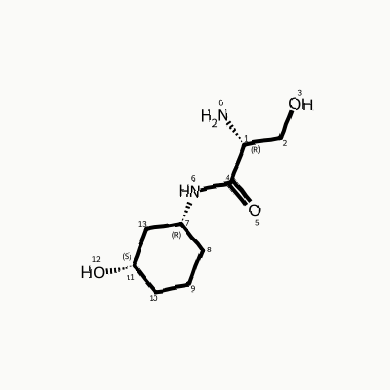 N[C@H](CO)C(=O)N[C@@H]1CCC[C@H](O)C1